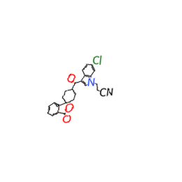 N#CCCn1cc(C(=O)C2CCC3(CC2)OC(=O)c2ccccc23)c2ccc(Cl)cc21